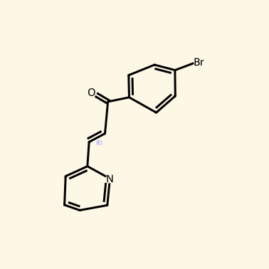 O=C(/C=C/c1ccccn1)c1ccc(Br)cc1